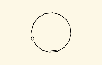 C1=C\CCOCCCCCCCCCCC/1